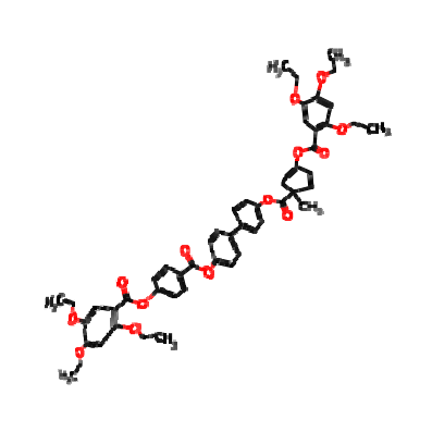 CCOc1cc(OCC)c(C(=O)OC2=CCC(C)(C(=O)Oc3ccc(-c4ccc(OC(=O)c5ccc(OC(=O)c6cc(OCC)c(OCC)cc6OCC)cc5)cc4)cc3)C=C2)cc1OCC